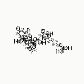 CC1(C)O[C@@H]2C[C@H]3[C@@H]4C[C@H](F)C5=CC(=O)C=C[C@]5(C)[C@H]4[C@@H](O)C[C@]3(C)[C@]2(C(=O)COC(=O)CC(NC(=O)CCCCCON(O)O)C(=O)O)O1